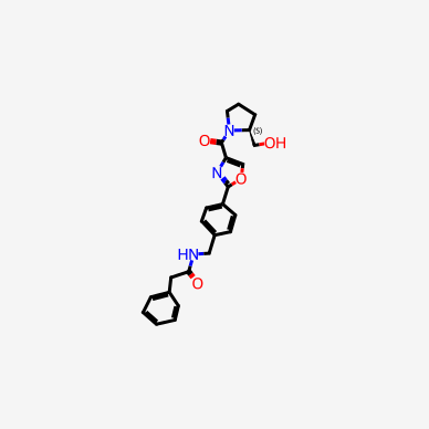 O=C(Cc1ccccc1)NCc1ccc(-c2nc(C(=O)N3CCC[C@H]3CO)co2)cc1